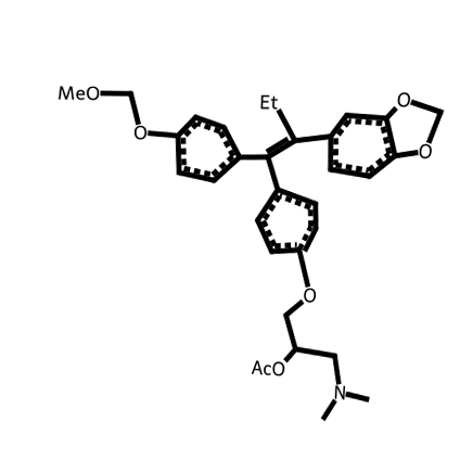 CCC(=C(c1ccc(OCOC)cc1)c1ccc(OCC(CN(C)C)OC(C)=O)cc1)c1ccc2c(c1)OCO2